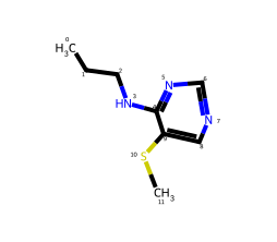 CCCNc1ncncc1SC